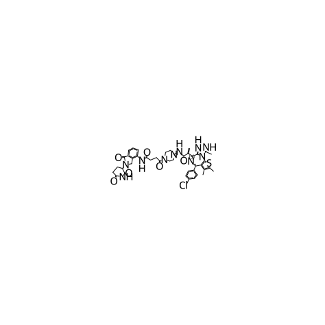 C=C(C(=O)NN1CCN(C(=O)CCC(=O)Nc2cccc3c2CN(C2CCC(=O)NC2=O)C3=O)CC1)[C@@H]1N=C(c2ccc(Cl)cc2)c2c(sc(C)c2C)N(C(C)=N)C1=N